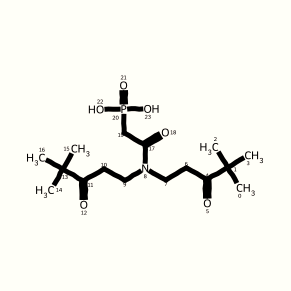 CC(C)(C)C(=O)CCN(CCC(=O)C(C)(C)C)C(=O)CP(=O)(O)O